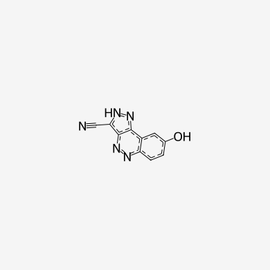 N#Cc1[nH]nc2c1nnc1ccc(O)cc12